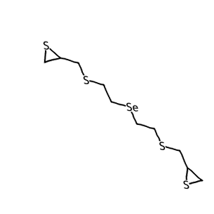 C(C[Se]CCSCC1CS1)SCC1CS1